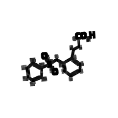 O=C(O)CCc1ccccc1CS(=O)(=O)c1ccccc1